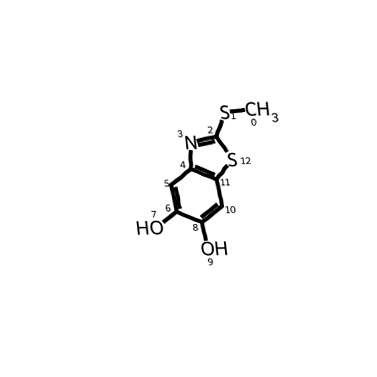 CSc1nc2cc(O)c(O)cc2s1